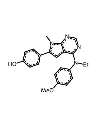 CCN(c1ccc(OC)cc1)c1ncnc2c1cc(-c1ccc(O)cc1)n2C